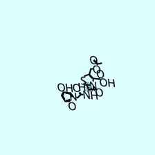 CC(=O)OCC1=C(C(=O)O)N2C(=O)[C@@H](NC(=O)Cn3cc(O)ccc3=O)[C@H]2SC1